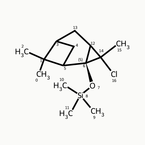 CC1(C)C2CC1[C@]1(O[Si](C)(C)C)C(C2)C1(C)Cl